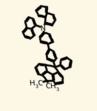 CC1(C)c2cccc3c2-c2c1cccc2C3(c1ccccc1)c1ccc(-c2ccc(N(c3cccc4ccccc34)c3cccc4ccccc34)cc2)cc1